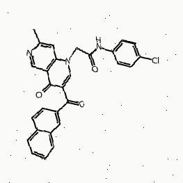 Cc1cc2c(cn1)c(=O)c(C(=O)c1ccc3ccccc3c1)cn2CC(=O)Nc1ccc(Cl)cc1